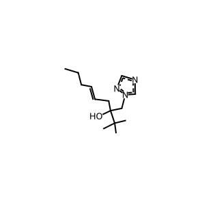 CCCC=CCC(O)(Cn1cncn1)C(C)(C)C